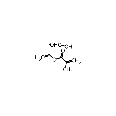 C=COC(=O)C(=C)C.O=[C]O